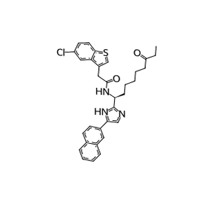 CCC(=O)CCCCC[C@H](NC(=O)Cc1csc2ccc(Cl)cc12)c1ncc(-c2ccc3ccccc3c2)[nH]1